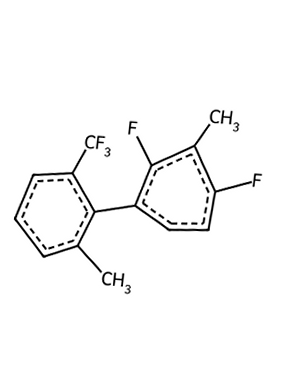 Cc1cccc(C(F)(F)F)c1-c1ccc(F)c(C)c1F